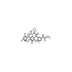 CC(=S)Nc1cccc(N2C(=O)N(C3CCCC3)C(O)c3c2c(C)c(=O)n(C)c3Nc2ccc(I)cc2F)c1